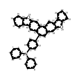 c1ccc(N(c2ccccc2)c2ccc(-c3cc4cc5oc6ccccc6c5cc4c4cc5oc6ccccc6c5cc34)cc2)cc1